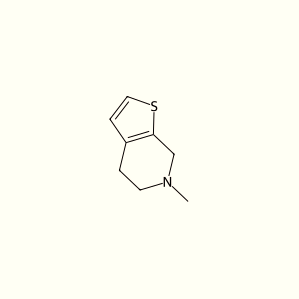 CN1CCc2ccsc2C1